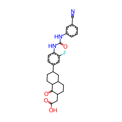 N#Cc1cccc(NC(=O)Nc2ccc(C3CCC4C(=O)C(CC(=O)O)CCC4C3)cc2F)c1